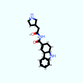 O=C(CC1CCNC1)NC(=O)C1=CC2c3ccccc3NC2CC1